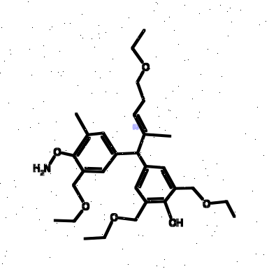 CCOCC/C=C(\C)C(c1cc(COCC)c(O)c(COCC)c1)c1cc(C)c(ON)c(COCC)c1